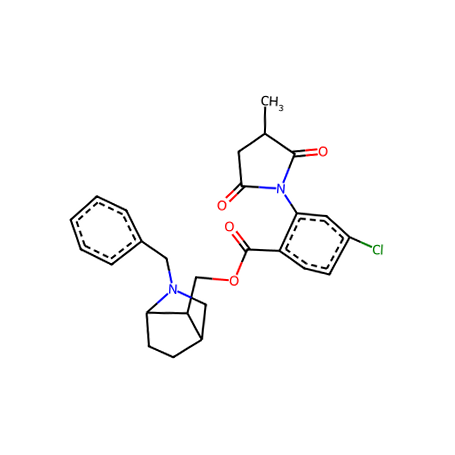 CC1CC(=O)N(c2cc(Cl)ccc2C(=O)OCC2C3CCC2N(Cc2ccccc2)C3)C1=O